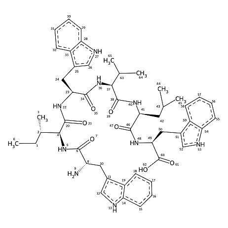 CC[C@H](C)[C@H](NC(=O)[C@@H](N)Cc1c[nH]c2ccccc12)C(=O)N[C@@H](Cc1c[nH]c2ccccc12)C(=O)N[C@H](C(=O)N[C@@H](CC(C)C)C(=O)N[C@@H](Cc1c[nH]c2ccccc12)C(=O)O)C(C)C